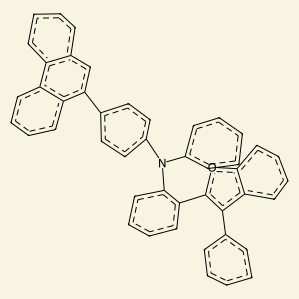 c1ccc(-c2c(-c3ccccc3N(c3ccccc3)c3ccc(-c4cc5ccccc5c5ccccc45)cc3)oc3ccccc23)cc1